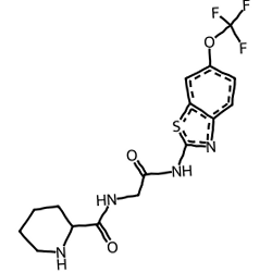 O=C(CNC(=O)C1CCCCN1)Nc1nc2ccc(OC(F)(F)F)cc2s1